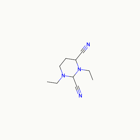 CCN1CCC(C#N)N(CC)C1C#N